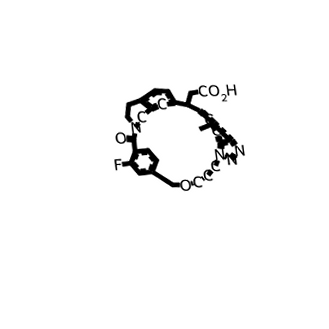 Cc1c2ccc3c1nnn3CCCOCc1ccc(c(F)c1)C(=O)N1CCc3ccc(cc3C1)C2CC(=O)O